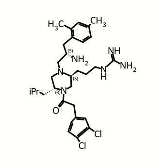 Cc1ccc(C[C@H](N)CN2C[C@@H](CC(C)C)N(C(=O)Cc3ccc(Cl)c(Cl)c3)C[C@@H]2CCCNC(=N)N)c(C)c1